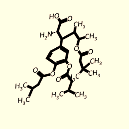 CC(C)CC(=O)Oc1ccc(C(C(C)C(C)OC(=O)CC(C)(C)C)[C@H](N)C(=O)O)cc1OC(=O)CC(C)C